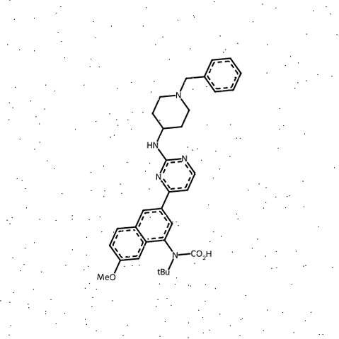 COc1ccc2cc(-c3ccnc(NC4CCN(Cc5ccccc5)CC4)n3)cc(N(C(=O)O)C(C)(C)C)c2c1